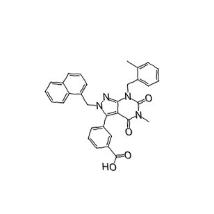 Cc1ccccc1Cn1c(=O)n(C)c(=O)c2c(-c3cccc(C(=O)O)c3)n(Cc3cccc4ccccc34)nc21